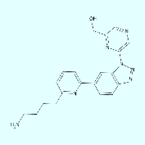 NCCCCc1cccc(-c2ccc3cnn(-c4cncc(CO)n4)c3c2)n1